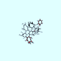 c1ccc(-c2ccccc2-c2c(-c3ccccc3)nnnc2-c2c(-c3ccccc3)c(-c3ccccc3-c3ccccc3)c(-c3ccccc3)c3sc4ccccc4c23)cc1